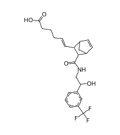 O=C(O)CCCC=CC1C2C=CC(C2)C1C(=O)NCC(O)c1cccc(C(F)(F)F)c1